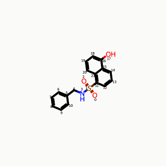 O=S(=O)(NCc1ccccc1)c1cccc2c(O)cccc12